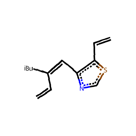 C=C/C(=C\c1ncsc1C=C)C(C)CC